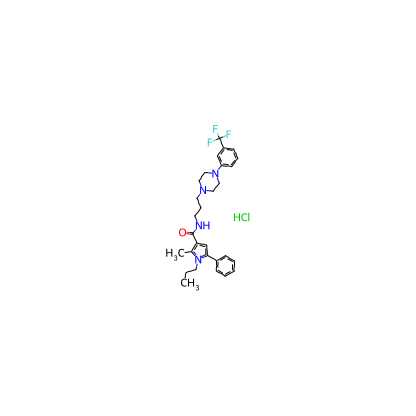 CCCn1c(-c2ccccc2)cc(C(=O)NCCCN2CCN(c3cccc(C(F)(F)F)c3)CC2)c1C.Cl